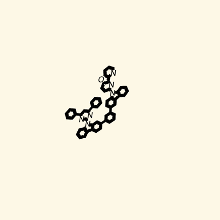 c1ccc(-c2cc(-c3ccccc3)nc(-n3c4ccccc4c4ccc(-c5cccc(-c6ccc7c(c6)c6ccccc6n7-c6ccc7oc8cccnc8c7n6)c5)cc43)n2)cc1